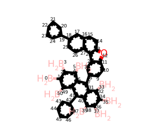 Bc1c(B)c(B)c2c(-c3ccc4oc5ccc6cc(-c7ccccc7)ccc6c5c4c3)c3c(B)c(B)c(B)c(B)c3c(-c3ccccc3)c2c1B